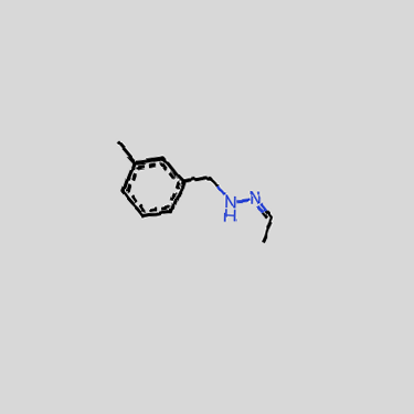 C/C=N\NCc1cccc(C)c1